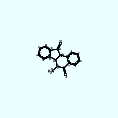 NN1C(=O)c2ccccc2N2C(=O)c3ccccc3C12